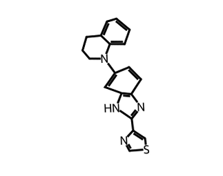 c1ccc2c(c1)CCCN2c1ccc2nc(-c3cscn3)[nH]c2c1